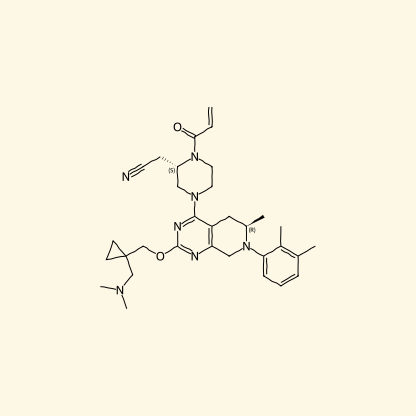 C=CC(=O)N1CCN(c2nc(OCC3(CN(C)C)CC3)nc3c2C[C@@H](C)N(c2cccc(C)c2C)C3)C[C@@H]1CC#N